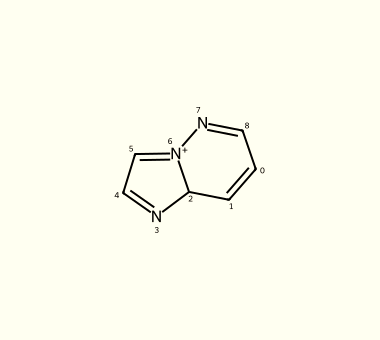 C1=CC2N=CC=[N+]2N=C1